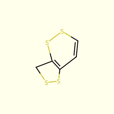 C1=CC2=C(CSS2)SS1